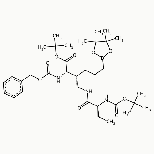 CC[C@H](NC(=O)OC(C)(C)C)C(=O)NC[C@@H](CCCB1OC(C)(C)C(C)(C)O1)[C@H](NC(=O)OCc1ccccc1)C(=O)OC(C)(C)C